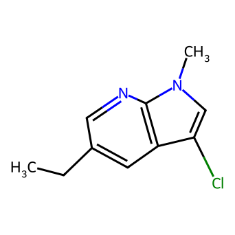 CCc1cnc2c(c1)c(Cl)cn2C